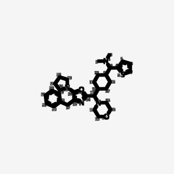 CN(C)C(c1cccs1)C1CCC(C(c2nc(Cc3ccccc3)c(N3CCCC3)o2)N2CCOCC2)CC1